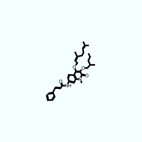 CCCC(C)COc1c(OCC=C(C)CCC=C(C)C)c2ccc(NC(=O)C=Cc3ccccc3)cc2n(C)c1=O